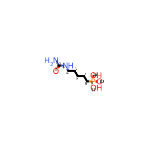 NC(=O)NCCCCCP(=O)(O)O